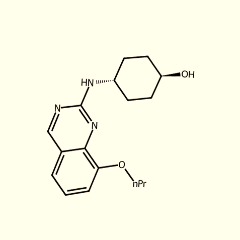 CCCOc1cccc2cnc(N[C@H]3CC[C@H](O)CC3)nc12